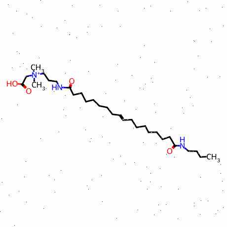 CCCCNC(=O)CCCCCCC/C=C/CCCCCCCC(=O)NCCC[N+](C)(C)CC(=O)O